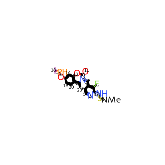 CNSNc1nccc(CN2C(=O)Oc3cc(OPI)ccc3C2C)c1F